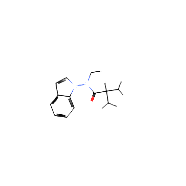 CCN(C(=O)C(C)(C(C)C)C(C)C)n1ccc2ccccc21